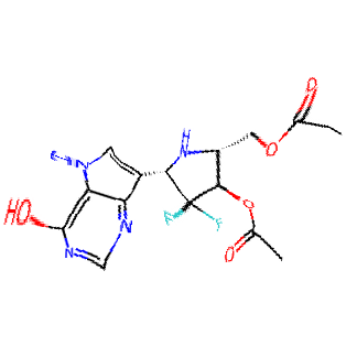 CC(=O)OC[C@H]1N[C@@H](c2c[nH]c3c(O)ncnc23)C(F)(F)[C@@H]1OC(C)=O